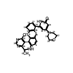 CC(Nc1ccc2c(c1)Sc1cccc(-c3cc(N4CCOCC4)cc(=O)[nH]3)c1S2)c1cc(Cl)ncn1